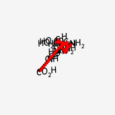 CC(=O)N1CCC[C@H]1C(=O)N[C@@H](CCCCN)C(=O)N[C@@H](CC(=O)O)C(=O)N[C@@H](CNC(=O)CN(CC(=O)O)CC(=O)O)C(=O)N[C@@H](CCCCNC(=O)COCCOCCNC(=O)CCCCCCCCCCCCC(=O)O)C(N)=O